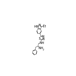 CCc1n[nH]c2ccc(-c3nnc(NC[C@@H](N)Cc4ccccc4)s3)cc12